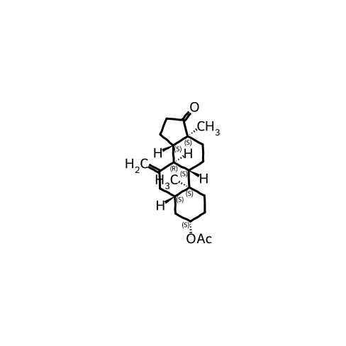 C=C1C[C@H]2C[C@@H](OC(C)=O)CC[C@]2(C)[C@H]2CC[C@]3(C)C(=O)CC[C@H]3[C@H]12